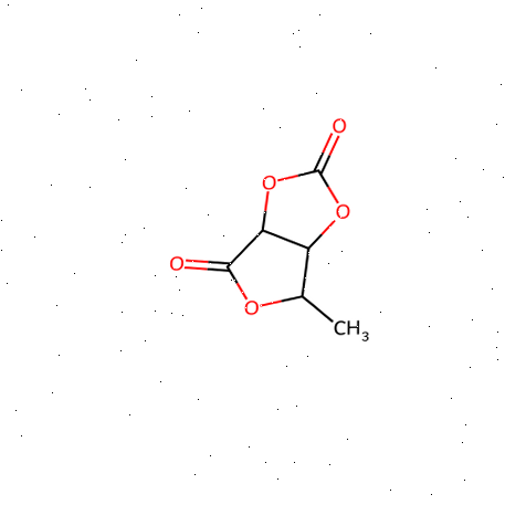 CC1OC(=O)C2OC(=O)OC12